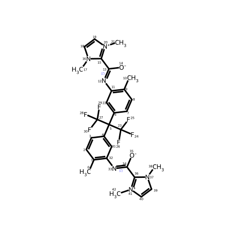 Cc1ccc(C(c2ccc(C)c(/N=C(\[O-])c3n(C)cc[n+]3C)c2)(C(F)(F)F)C(F)(F)F)cc1/N=C(\[O-])c1n(C)cc[n+]1C